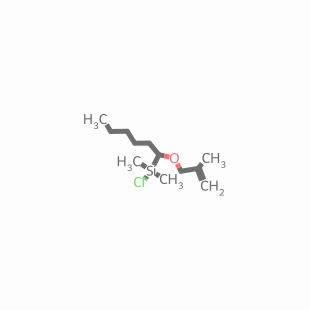 C=C(C)COC(CCCCC)[Si](C)(C)Cl